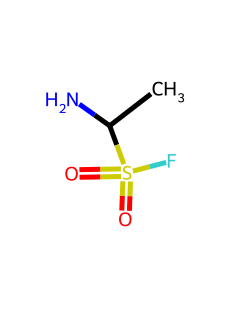 CC(N)S(=O)(=O)F